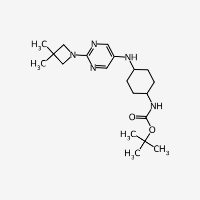 CC1(C)CN(c2ncc(NC3CCC(NC(=O)OC(C)(C)C)CC3)cn2)C1